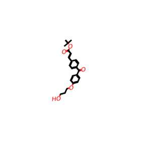 CC(C)(C)OC(=O)/C=C/c1ccc(C(=O)c2ccc(OCCCO)cc2)cc1